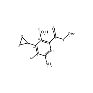 CC(=O)OCC(=O)c1nc(N)c(C)c(C2CC2)c1C(=O)O